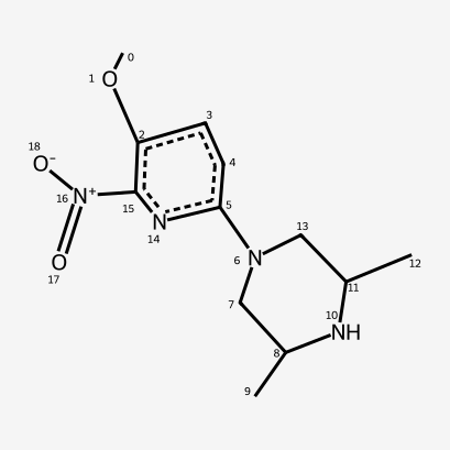 COc1ccc(N2CC(C)NC(C)C2)nc1[N+](=O)[O-]